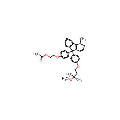 COC(C)(C)CCOc1ccc(C2(c3ccc(OCCOC(C)=O)cc3)C3=C(c4ccccc42)C(C)CC=C3)cc1